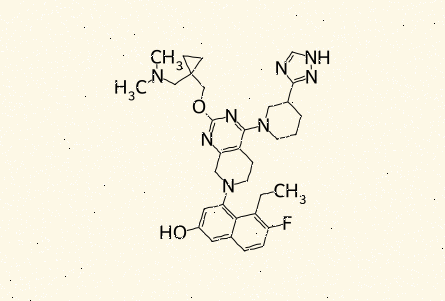 CCc1c(F)ccc2cc(O)cc(N3CCc4c(nc(OCC5(CN(C)C)CC5)nc4N4CCCC(c5nc[nH]n5)C4)C3)c12